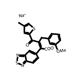 COc1cccc(CC(C(=O)c2cc(C)cs2)=C(C(=O)[O-])c2ccc3nsnc3c2)c1.[Na+]